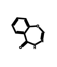 O=C1NN=[C]Oc2ccccc21